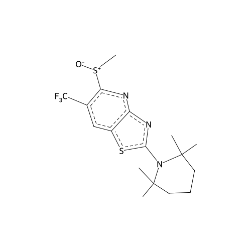 C[S+]([O-])c1nc2nc(N3C(C)(C)CCCC3(C)C)sc2cc1C(F)(F)F